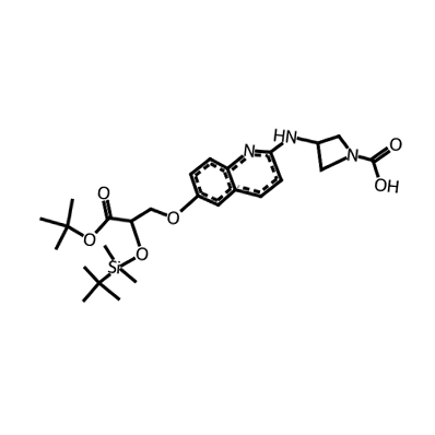 CC(C)(C)OC(=O)C(COc1ccc2nc(NC3CN(C(=O)O)C3)ccc2c1)O[Si](C)(C)C(C)(C)C